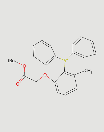 Cc1cccc(OCC(=O)OC(C)(C)C)c1[S+](c1ccccc1)c1ccccc1